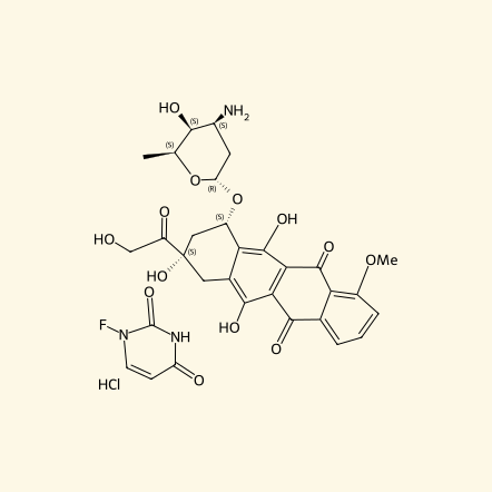 COc1cccc2c1C(=O)c1c(O)c3c(c(O)c1C2=O)C[C@@](O)(C(=O)CO)C[C@@H]3O[C@H]1C[C@H](N)[C@H](O)[C@H](C)O1.Cl.O=c1ccn(F)c(=O)[nH]1